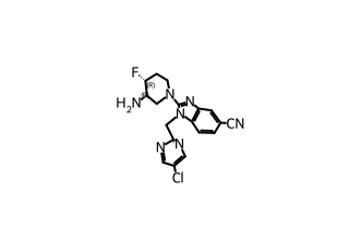 N#Cc1ccc2c(c1)nc(N1CC[C@@H](F)[C@H](N)C1)n2Cc1ncc(Cl)cn1